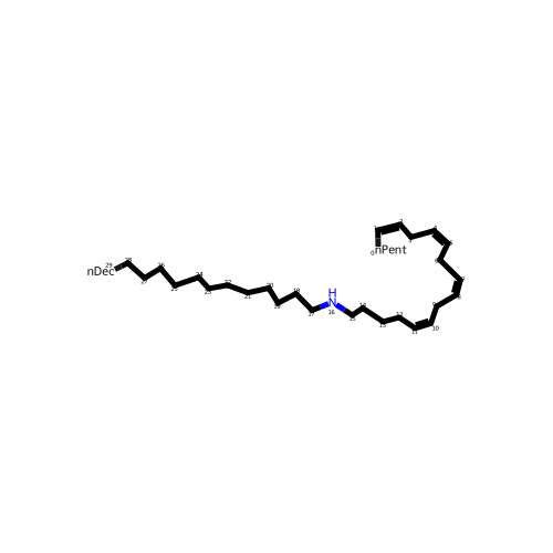 CCCCC/C=C\C/C=C\C/C=C\C/C=C\CCCCNCCCCCCCCCCCCCCCCCCCCCC